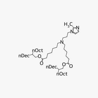 CCCCCCCCCCC(CCCCCCCC)COC(=O)CCCCCCN(CCCCCC(=O)OCC(CCCCCCCC)CCCCCCCCCC)CCCn1ccnc1C